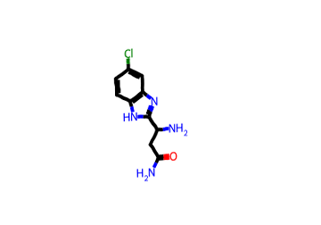 NC(=O)CC(N)c1nc2cc(Cl)ccc2[nH]1